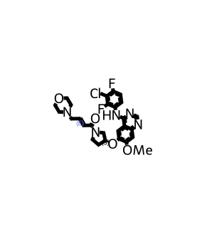 COc1cc2ncnc(Nc3ccc(F)c(Cl)c3F)c2cc1O[C@H]1CCN(C(=O)/C=C/CN2CCOCC2)C1